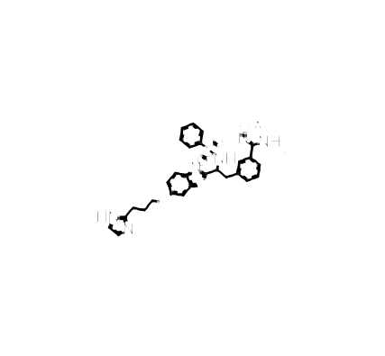 CC(=O)ON=C(N)c1cccc(CC(NS(=O)(=O)c2ccccc2)c2nc3ccc(OCCCc4ncc[nH]4)cc3s2)c1